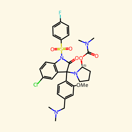 COc1cc(CN(C)C)ccc1C1(N2CCC[C@@H]2OC(=O)N(C)C)C(=O)N(S(=O)(=O)c2ccc(F)cc2)c2ccc(Cl)cc21